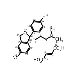 CN(C)CCC[C@@]1(c2ccc(F)cc2)OCc2cc(C#N)ccc21.O=C(O)C=CC(=O)O